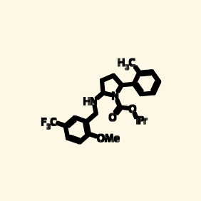 COc1ccc(C(F)(F)F)cc1CNC1CCC(c2ccccc2C)N1C(=O)OC(C)C